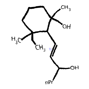 CCCC(O)/C=C/C1C(C)(C)CCCC1(C)O